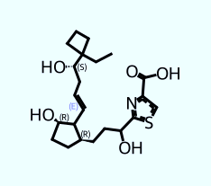 CCC1([C@@H](O)C/C=C/C2[C@@H](CCC(O)c3nc(C(=O)O)cs3)CC[C@H]2O)CCC1